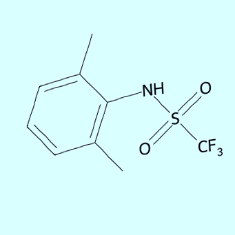 Cc1cccc(C)c1NS(=O)(=O)C(F)(F)F